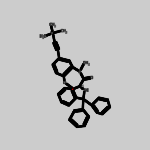 CN1C(=O)[C@@H](NC(c2ccccc2)(c2ccccc2)c2ccccc2)COc2ccc(C#C[Si](C)(C)C)cc21